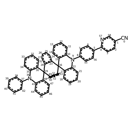 N#Cc1ccc(-c2ccc(N3c4ccccc4C4(c5ccccc53)c3ccccc3C3(c5ccccc5N(c5ccccc5)c5ccccc53)c3ccccc34)cc2)nc1